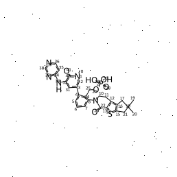 Cn1cc(-c2cccc(N3CCc4c(sc5c4CC(C)(C)C5)C3=O)c2COP(=O)(O)O)cc(Nc2ccncn2)c1=O